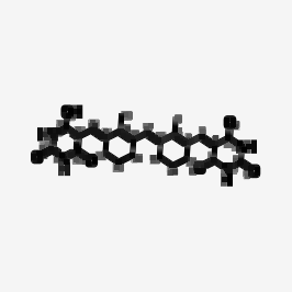 CC1=C(C=C2C(=O)NC(=O)NC2=O)CCC/C1=C\C1=C(C)C(=C/c2c(O)[nH]c(=O)[nH]c2=O)/CCC1